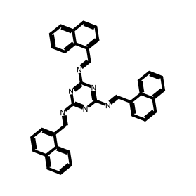 C(=Nc1nc(/N=C/c2cccc3ccccc23)nc(/N=C/c2cccc3ccccc23)n1)c1cccc2ccccc12